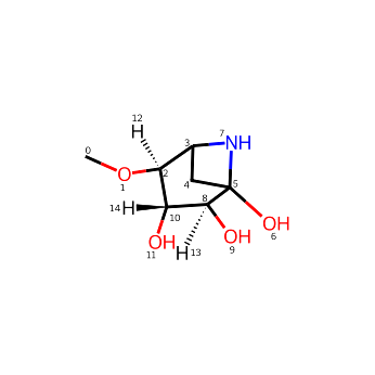 CO[C@H]1C2CC(O)(N2)[C@@H](O)[C@@H]1O